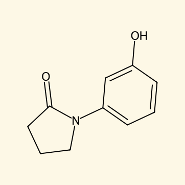 O=C1CCCN1c1cccc(O)c1